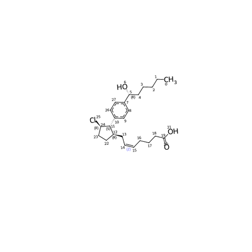 CCCCC[C@@H](O)c1ccc([C@@H]2[C@@H](C/C=C\CCCC(=O)O)CC[C@H]2Cl)cc1